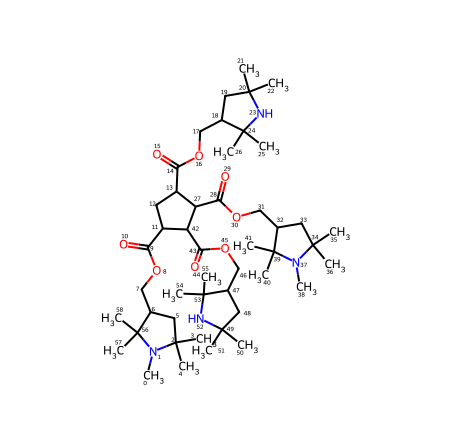 CN1C(C)(C)CC(COC(=O)C2CC(C(=O)OCC3CC(C)(C)NC3(C)C)C(C(=O)OCC3CC(C)(C)N(C)C3(C)C)C2C(=O)OCC2CC(C)(C)NC2(C)C)C1(C)C